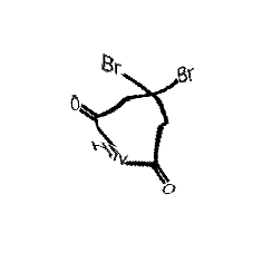 O=C1CC(Br)(Br)C(=O)N1